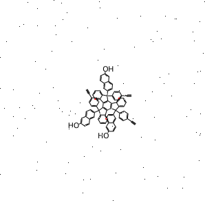 C#Cc1ccc(C2(c3ccc4cc(O)ccc4c3)c3ccccc3-c3c2c2c(c4c3C(c3ccc(C#C)cc3)(c3ccc5cc(O)ccc5c3)c3ccccc3-4)C(c3ccc(C#C)cc3)(c3ccc4cc(O)ccc4c3)c3ccccc3-2)cc1